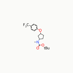 CN(C(=O)OC(C)(C)C)C1CCC(Oc2ccc(C(F)(F)F)cc2)C1